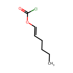 CCCC/C=C/OC(=O)Cl